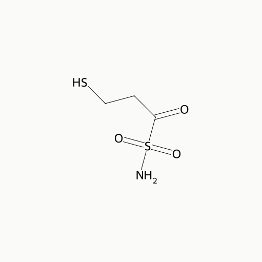 NS(=O)(=O)C(=O)CCS